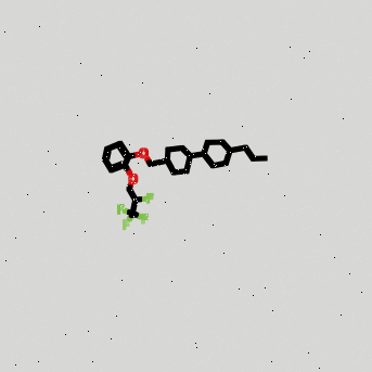 CCCC1CCC(C2CCC(COc3ccccc3OCC(F)C(F)(F)F)CC2)CC1